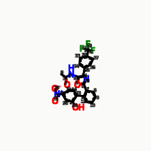 CC(=O)Nc1oc(-c2ccccc2-c2ccc([N+](=O)[O-])cc2O)nc1-c1ccc(C(F)(F)F)cc1